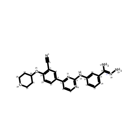 N#Cc1cc(-c2ccnc(Nc3cccc(/C(N)=N/N)c3)n2)ccc1OC1CCOCC1